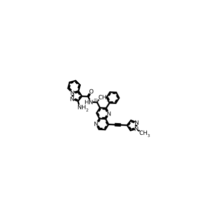 C[C@H](NC(=O)c1c(N)nn2ccccc12)c1cc2nccc(C#Cc3cnn(C)c3)c2nc1-c1ccccc1